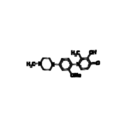 COc1cc(N2CCN(C)CC2)ccc1-n1ccc(=O)c(O)c1C